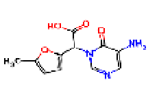 Cc1ccc(C(C(=O)O)n2cncc(N)c2=O)o1